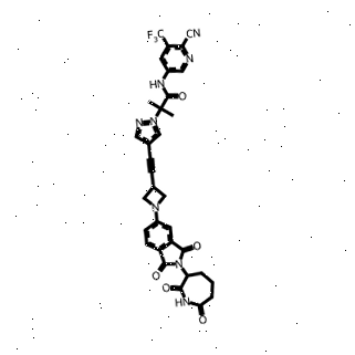 CC(C)(C(=O)Nc1cnc(C#N)c(C(F)(F)F)c1)n1cc(C#CC2CN(c3ccc4c(c3)C(=O)N(C3CCCC(=O)NC3=O)C4=O)C2)cn1